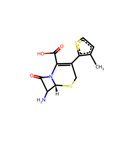 Cc1ccsc1C1=C(C(=O)O)N2C(=O)C(N)[C@H]2SC1